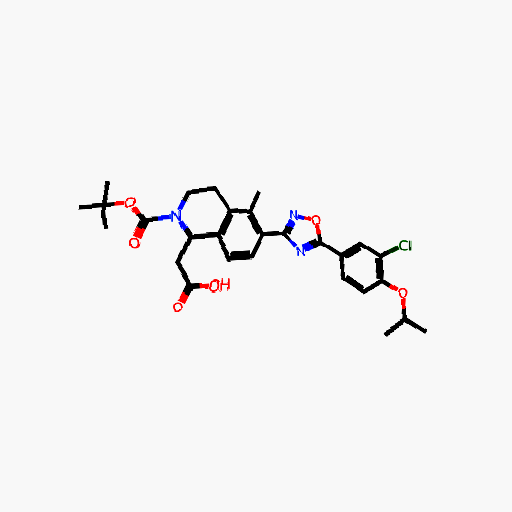 Cc1c(-c2noc(-c3ccc(OC(C)C)c(Cl)c3)n2)ccc2c1CCN(C(=O)OC(C)(C)C)C2CC(=O)O